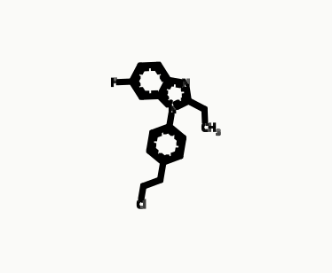 CCc1nc2ccc(F)cc2n1-c1ccc(CCCl)cc1